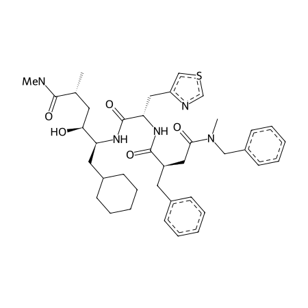 CNC(=O)[C@H](C)C[C@H](O)[C@H](CC1CCCCC1)NC(=O)[C@H](Cc1cscn1)NC(=O)[C@@H](CC(=O)N(C)Cc1ccccc1)Cc1ccccc1